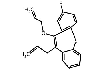 C=CCOC1=C(CC=C)c2ccccc2Sc2ccc(F)cc21